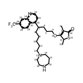 CC1=C(OCCCC(CCCCCN2CCCNCC2)c2ccnc3cc(C(F)(F)F)ccc23)C(C)SC1=O